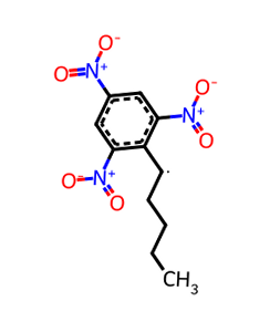 CCCC[CH]c1c([N+](=O)[O-])cc([N+](=O)[O-])cc1[N+](=O)[O-]